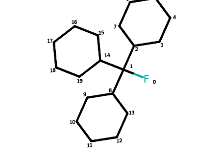 FC(C1CCCCC1)(C1CCCCC1)C1CCCCC1